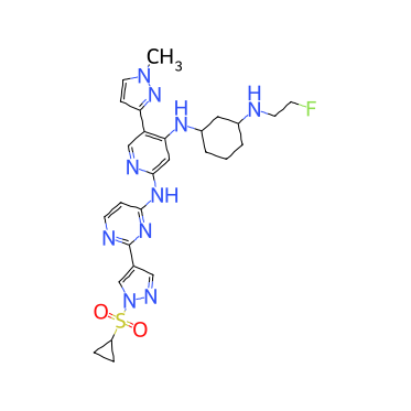 Cn1ccc(-c2cnc(Nc3ccnc(-c4cnn(S(=O)(=O)C5CC5)c4)n3)cc2NC2CCCC(NCCF)C2)n1